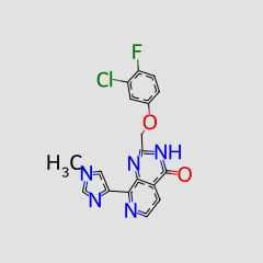 Cn1cnc(-c2nccc3c(=O)[nH]c(COc4ccc(F)c(Cl)c4)nc23)c1